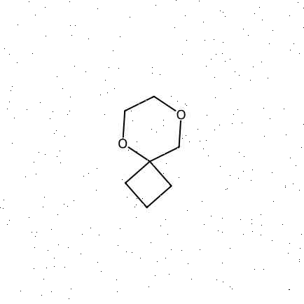 C1CC2(C1)COCCO2